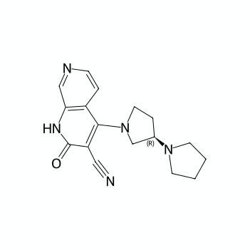 N#Cc1c(N2CC[C@@H](N3CCCC3)C2)c2ccncc2[nH]c1=O